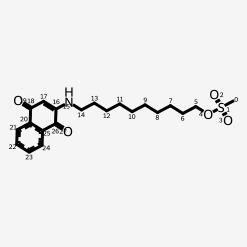 CS(=O)(=O)OCCCCCCCCCCNC1=CC(=O)c2ccccc2C1=O